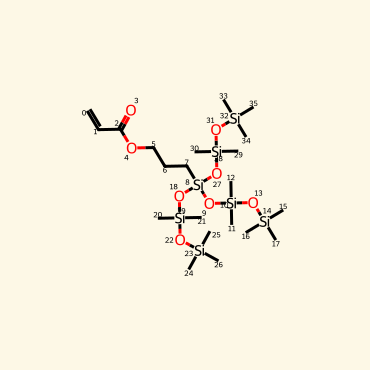 C=CC(=O)OCCC[Si](O[Si](C)(C)O[Si](C)(C)C)(O[Si](C)(C)O[Si](C)(C)C)O[Si](C)(C)O[Si](C)(C)C